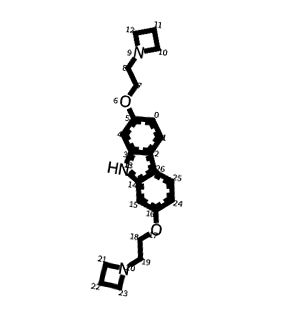 c1cc2c(cc1OCCN1CCC1)[nH]c1cc(OCCN3CCC3)ccc12